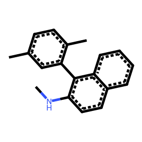 CNc1ccc2ccccc2c1-c1cc(C)ccc1C